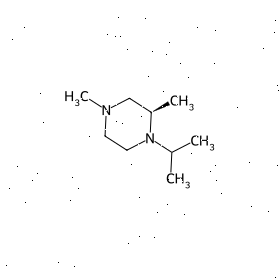 CC(C)N1CCN(C)C[C@H]1C